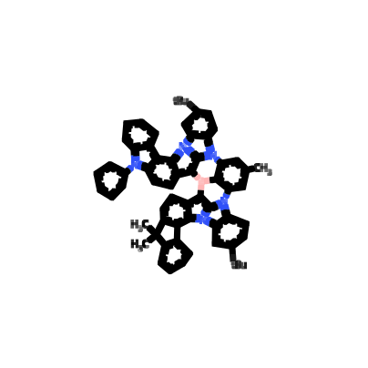 Cc1cc2c3c(c1)-n1c4ccc(C(C)(C)C)cc4n4c5c(ccc6c5c5ccccc5n6-c5ccccc5)c(c14)B3c1c3ccc4c(c3n3c5cc(C(C)(C)C)ccc5n-2c13)-c1ccccc1C4(C)C